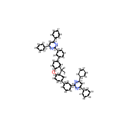 CC1(C)c2cc(-c3cccc(-c4nc(-c5ccccc5)cc(-c5ccccc5)n4)c3)ccc2Oc2ccc(-c3cccc(-c4nc(-c5ccccc5)cc(C5C=CC=CC5)n4)c3)cc21